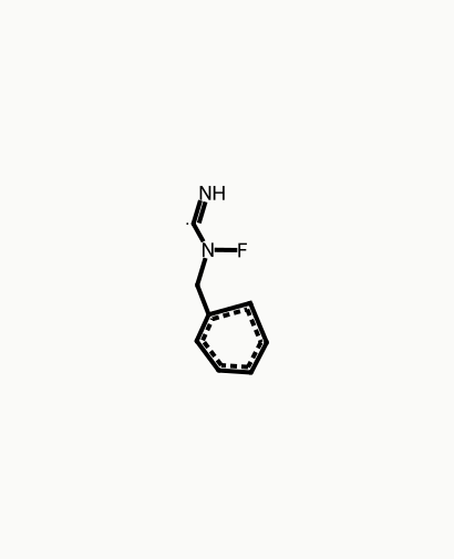 N=[C]N(F)Cc1ccccc1